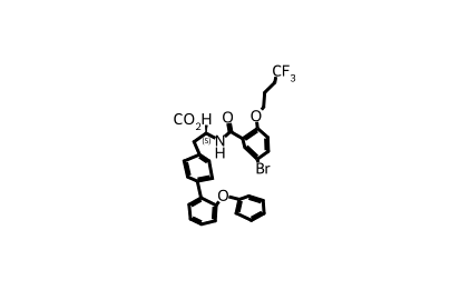 O=C(N[C@@H](Cc1ccc(-c2ccccc2Oc2ccccc2)cc1)C(=O)O)c1cc(Br)ccc1OCCCC(F)(F)F